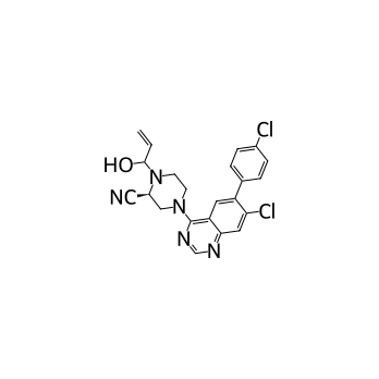 C=CC(O)N1CCN(c2ncnc3cc(Cl)c(-c4ccc(Cl)cc4)cc23)C[C@H]1C#N